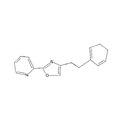 C1=CC(CCc2coc(-c3ccccn3)n2)=CCC1